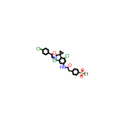 CCS(=O)(=O)c1ccc(CC(=O)Nc2cc(Cl)c(C3(c4ncc(-c5ccc(Cl)cc5)o4)CC3)c(Cl)c2)cc1